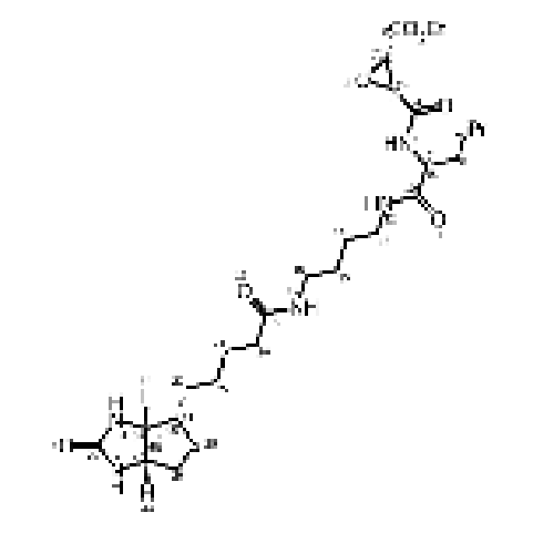 CCOC(=O)[C@H]1O[C@@H]1C(=O)N[C@@H](CC(C)C)C(=O)NCCCCNC(=O)CCCC[C@@H]1SC[C@@H]2NC(=O)N[C@@H]21